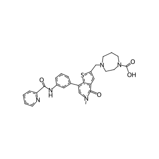 Cn1cc(-c2cccc(NC(=O)c3ccccn3)c2)c2sc(CN3CCCN(C(=O)O)CC3)cc2c1=O